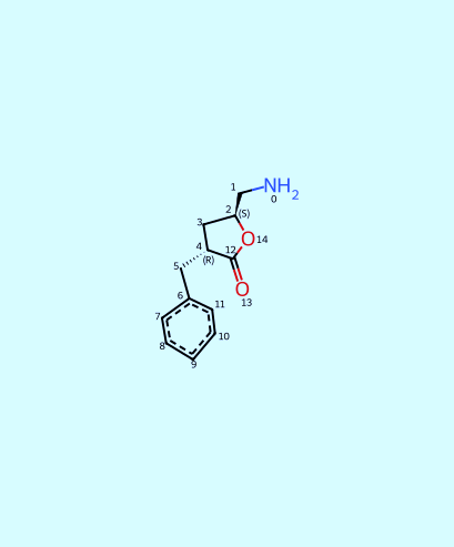 NC[C@@H]1C[C@@H](Cc2ccccc2)C(=O)O1